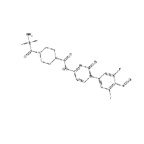 CC(C)(N)C(=O)N1CCN(C(=O)Nc2ccn(-c3cc(F)c(C=O)c(F)c3)c(=O)n2)CC1